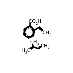 C=CC(=C)C.C=Cc1ccccc1C(=O)O